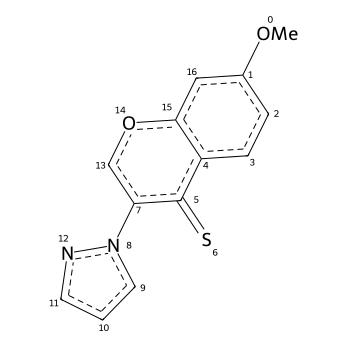 COc1ccc2c(=S)c(-n3cccn3)coc2c1